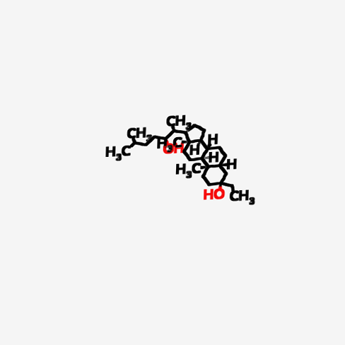 CC[C@]1(O)CC[C@@]2(C)[C@H](CC[C@@H]3[C@@H]2CC[C@]2(C)[C@@H]([C@H](C)[C@@H](O)CCC(C)C)CC[C@@H]32)C1